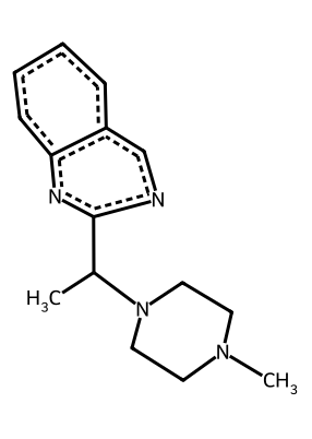 CC(c1ncc2ccccc2n1)N1CCN(C)CC1